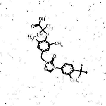 Cc1cc(-n2cnn(Cc3cc(C)c(OC(C)(C)C(=O)O)c(C)c3)c2=O)ccc1C(F)(F)F